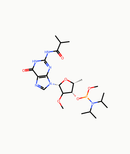 COC1[C@@H](OP(OC)N(C(C)C)C(C)C)[C@@H](C)O[C@H]1n1cnc2c(=O)[nH]c(NC(=O)C(C)C)nc21